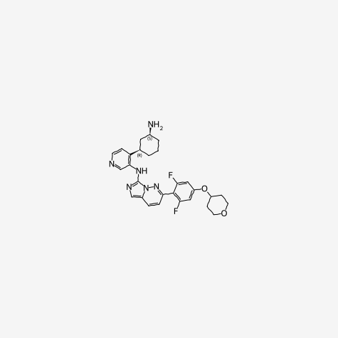 N[C@H]1CCC[C@@H](c2ccncc2Nc2ncc3ccc(-c4c(F)cc(OC5CCOCC5)cc4F)nn23)C1